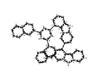 c1ccc(-c2cc(-c3ccc4oc5cccc(-c6nc(-c7ccccc7)nc(-c7ccc8ccccc8c7)n6)c5c4c3)c3c(c2)sc2ccccc23)cc1